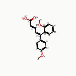 COc1ccc(/C(=C/C=C/C(=O)O)c2ccccc2OC)cc1